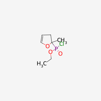 CCOP(=O)(Cl)C1(C)CC=CO1